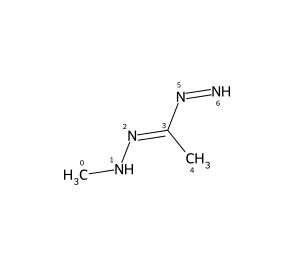 CN/N=C(\C)N=N